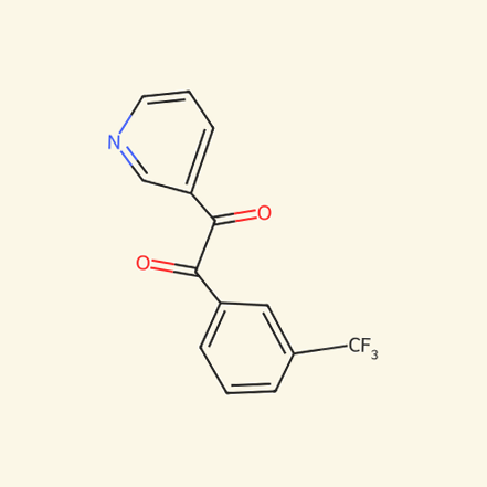 O=C(C(=O)c1cccc(C(F)(F)F)c1)c1cccnc1